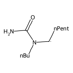 CCCCC[CH]N(CCCC)C(N)=O